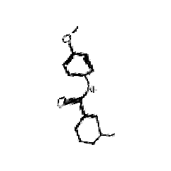 COc1ccc(NC(=O)C2CCCC(C)C2)cc1